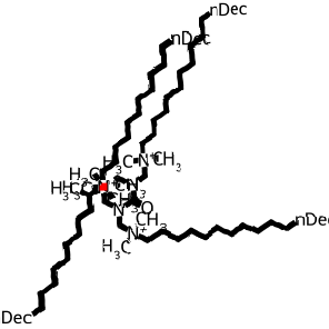 CCCCCCCCCCCCCCCCCCCCC[N+](C)(C)CN(C[N+](C)(C)CCCCCCCCCCCCCCCCCCCCC)C(=O)N(C[N+](C)(C)CCCCCCCCCCCCCCCCCCCCC)C[N+](C)(C)C(C)CCCCCCCCCCCCCCCCCCC